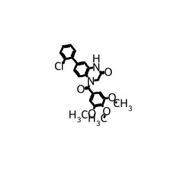 COc1cc(C(=O)N2CC(=O)Nc3cc(-c4ccccc4Cl)ccc32)cc(OC)c1OC